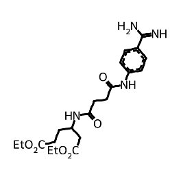 CCOC(=O)CCC(CC(=O)OCC)NC(=O)CCC(=O)Nc1ccc(C(=N)N)cc1